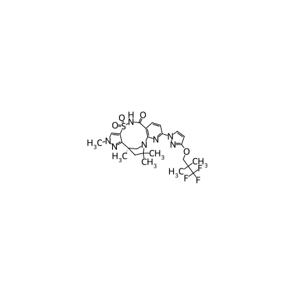 Cn1cc2c(n1)[C@@]1(C)CN(c3nc(-n4ccc(OCC(C)(C)C(F)(F)F)n4)ccc3C(=O)NS2(=O)=O)C(C)(C)C1